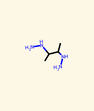 CC(NN)C(C)NN